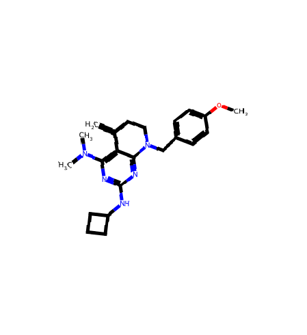 C=C1CCN(Cc2ccc(OC)cc2)c2nc(NC3CCC3)nc(N(C)C)c21